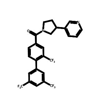 O=C(c1ccc(-c2cc(C(F)(F)F)cc(C(F)(F)F)c2)c(C(F)(F)F)c1)N1CCC(c2cccnc2)C1